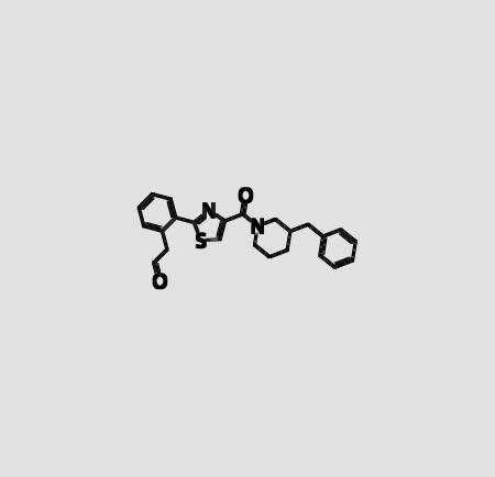 O=CCc1ccccc1-c1nc(C(=O)N2CCCC(Cc3ccccc3)C2)cs1